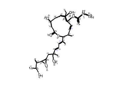 CCCCNC(=S)OC1/C=C/C(C)C(/C(C)=C/C=C/C(C)(O)CC2OC2C(C)C(O)CC)OC(=O)CC(O)CCC1(C)O